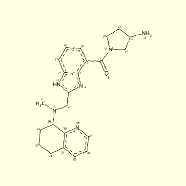 CN(Cc1nc2c(C(=O)N3CCC(N)C3)cccc2[nH]1)C1CCCc2cccnc21